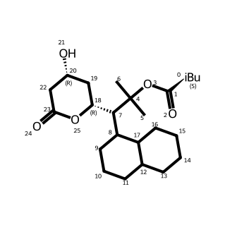 CC[C@H](C)C(=O)OC(C)(C)C(C1CCCC2CCCCC21)[C@H]1C[C@@H](O)CC(=O)O1